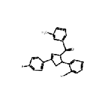 CCc1ccccc1C1CC(c2ccc(F)cc2)=CC1C(=O)c1cccc(C)c1